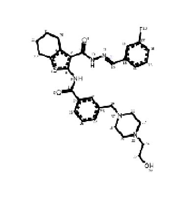 O=C(Nc1sc2c(c1C(=O)N/N=C/c1cccc(F)c1)CCCC2)c1cccc(CN2CCN(CCO)CC2)c1